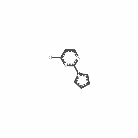 Clc1ccnc(-n2cccc2)n1